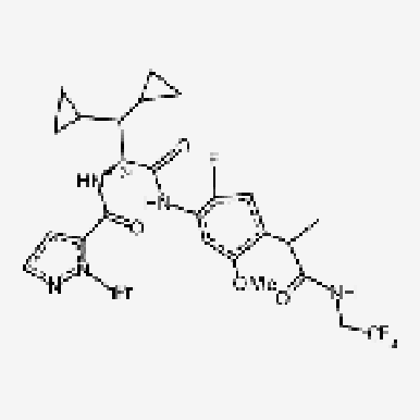 COc1cc(NC(=O)[C@@H](NC(=O)c2ccnn2C(C)C)C(C2CC2)C2CC2)c(F)cc1C(C)C(=O)NCC(F)(F)F